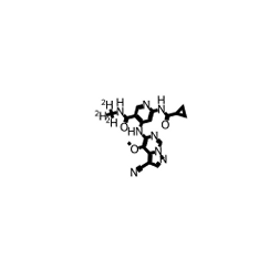 [2H]C([2H])([2H])NC(=O)c1cnc(NC(=O)C2CC2)cc1Nc1ncn2ncc(C#N)c2c1OC